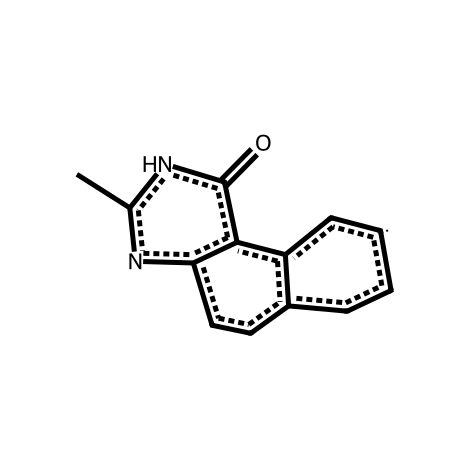 Cc1nc2ccc3cc[c]cc3c2c(=O)[nH]1